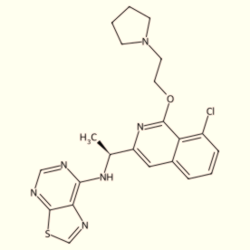 C[C@H](Nc1ncnc2scnc12)c1cc2cccc(Cl)c2c(OCCN2CCCC2)n1